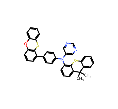 CC1(C)c2ccccc2Sc2c(N(c3ccc(-c4cccc5c4Sc4ccccc4O5)cc3)c3cncnc3)cccc21